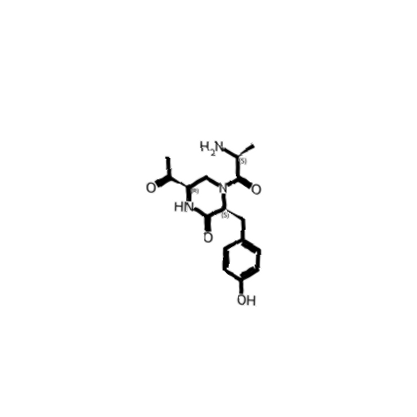 CC(=O)[C@H]1CN(C(=O)[C@H](C)N)[C@@H](Cc2ccc(O)cc2)C(=O)N1